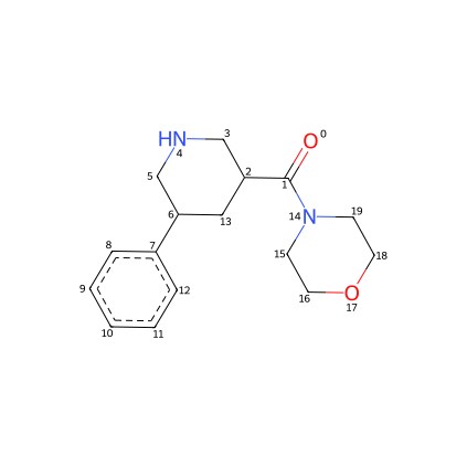 O=C(C1CNCC(c2ccccc2)C1)N1CCOCC1